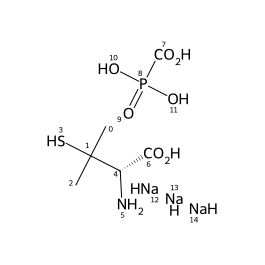 CC(C)(S)[C@@H](N)C(=O)O.O=C(O)P(=O)(O)O.[NaH].[NaH].[NaH]